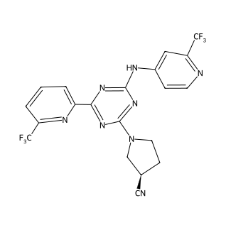 N#C[C@@H]1CCN(c2nc(Nc3ccnc(C(F)(F)F)c3)nc(-c3cccc(C(F)(F)F)n3)n2)C1